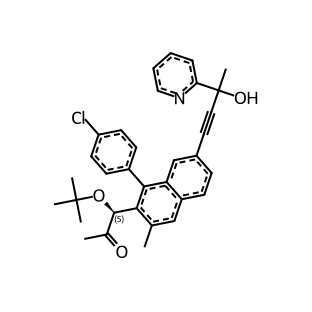 CC(=O)[C@@H](OC(C)(C)C)c1c(C)cc2ccc(C#CC(C)(O)c3ccccn3)cc2c1-c1ccc(Cl)cc1